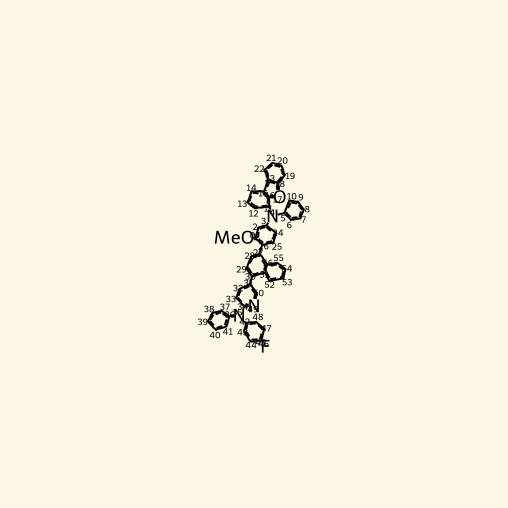 COc1cc(N(c2ccccc2)c2cccc3c2oc2ccccc23)ccc1-c1ccc(-c2ccc(N(c3ccccc3)c3ccc(F)cc3)nc2)c2ccccc12